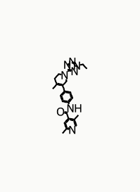 CCn1nnc(N2CCC(C)=C(c3ccc(NC(=O)c4cc(C)ncc4C)cc3)C2)n1